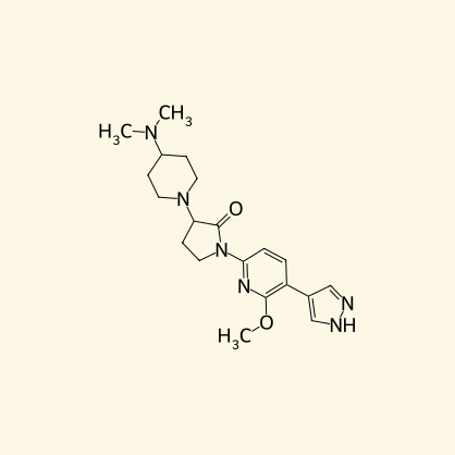 COc1nc(N2CCC(N3CCC(N(C)C)CC3)C2=O)ccc1-c1cn[nH]c1